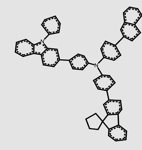 c1ccc(-n2c3ccccc3c3ccc(-c4ccc(N(c5ccc(-c6ccc7c(c6)C6(CCCC6)c6ccccc6-7)cc5)c5ccc(-c6ccc7ccccc7c6)cc5)cc4)cc32)cc1